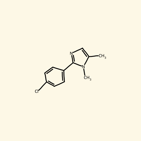 Cc1cnc(-c2ccc(Cl)cc2)n1C